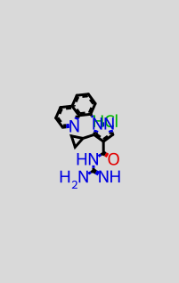 Cl.N=C(N)NC(=O)c1cnn(-c2cccc3cccnc23)c1C1CC1